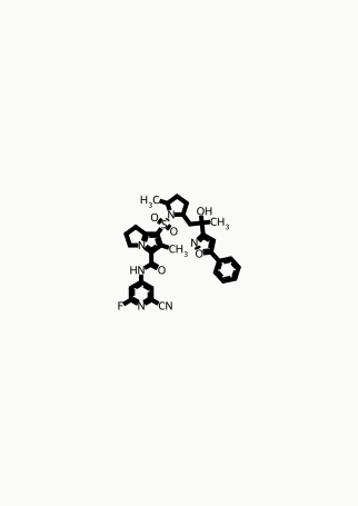 Cc1c(S(=O)(=O)N2C(C)CCC2CC(C)(O)c2cc(-c3ccccc3)on2)c2n(c1C(=O)Nc1cc(F)nc(C#N)c1)CCC2